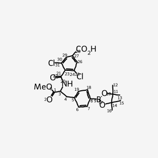 COC(=O)C(Cc1ccc(B2OC(C)(C)C(C)(C)O2)cc1)NC(=O)c1c(Cl)cc(C(=O)O)cc1Cl